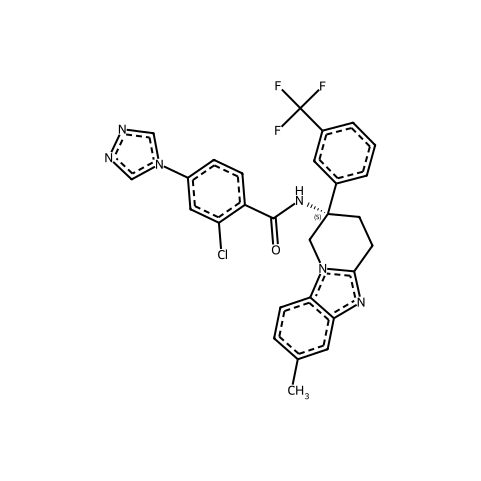 Cc1ccc2c(c1)nc1n2C[C@@](NC(=O)c2ccc(-n3cnnc3)cc2Cl)(c2cccc(C(F)(F)F)c2)CC1